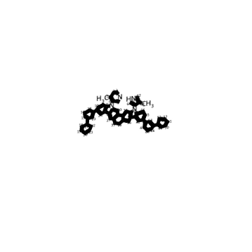 Cc1ccncc1-n1c2ccc(-c3cccc(C4C=CC=CC4)c3)cc2c2cc3c(cc21)-c1cc2c(cc1CC3)c1cc(-c3cccc(-c4ccccc4)c3)ccc1n2-c1c[nH]cc1C